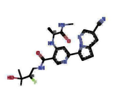 CNC(=O)[C@H](C)Nc1cc(-c2ccc3cc(C#N)cnn23)ncc1C(=O)NC[C@@H](F)C(C)(C)O